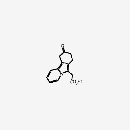 CCOC(=O)Cc1c2c(c3ccccn13)CC(=O)CC2